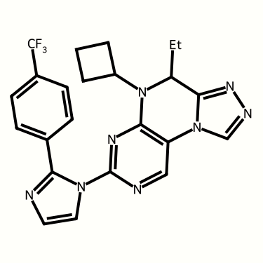 CCC1c2nncn2-c2cnc(-n3ccnc3-c3ccc(C(F)(F)F)cc3)nc2N1C1CCC1